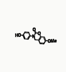 COc1ccc2c(c1)OC(=O)N(c1ccc(O)cc1)C2